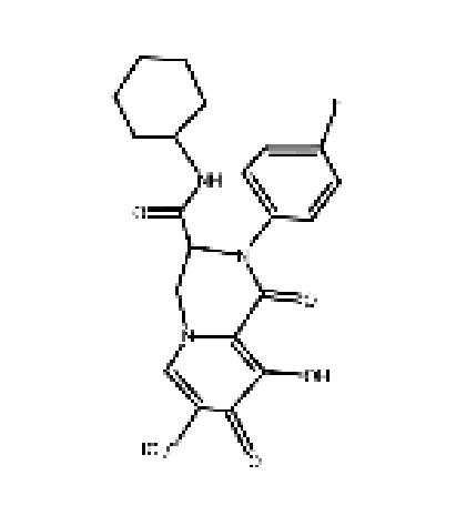 O=C(O)c1cn2c(c(O)c1=O)C(=O)N(c1ccc(F)cc1)C(C(=O)NC1CCCCC1)C2